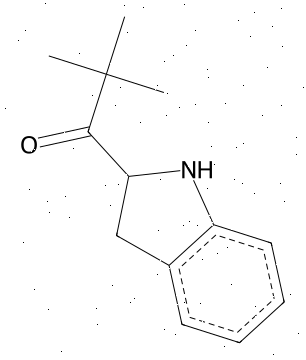 CC(C)(C)C(=O)C1Cc2ccccc2N1